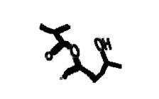 [CH2]C(CC(C)O)OC(=O)C(=C)C